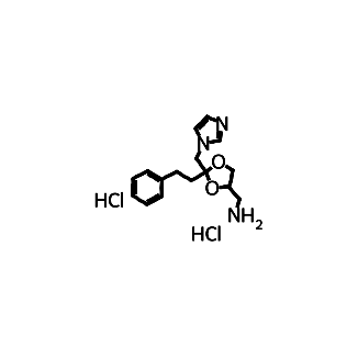 Cl.Cl.NCC1COC(CCc2ccccc2)(Cn2ccnc2)O1